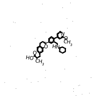 COc1cc(-c2ccc([C@@H]3CCc4ccc(CC(C)C(=O)O)cc4O3)cc2CNC2CCCCC2)ccn1